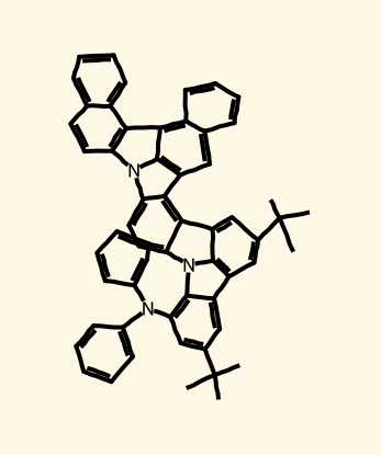 CC(C)(C)c1cc(N(c2ccccc2)c2ccccc2)c2c(c1)c1cc(C(C)(C)C)cc3c4c5c6cc7ccccc7c7c8c9ccccc9ccc8n(c5ccc4n2c13)c67